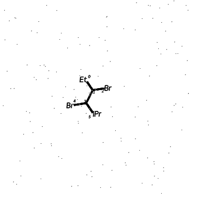 CCC(Br)C(Br)C(C)C